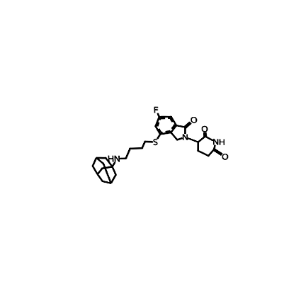 O=C1CCC(N2Cc3c(SCCCCNC45CC6CC(CC(C6)C4)C5)cc(F)cc3C2=O)C(=O)N1